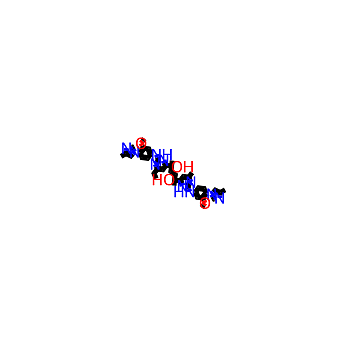 CCc1cc(C(C)(O)CCC(C)(O)c2cc(C)nc(Nc3ccc(-n4cnc(C)c4)c(OC)c3)n2)nc(Nc2ccc(-n3cnc(C)c3)c(OC)c2)n1